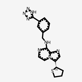 c1cc(CNc2nccn3c([C@@H]4CCCS4)cnc23)cc(-c2nnn[nH]2)c1